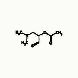 CC(=O)OC(C=S)CN(C)C